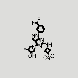 CS(=O)(=O)[C@H]1C[C@H](Nc2nc(N3C[C@H](O)[C@@H](F)C3)c3cnn(-c4cccc(C(F)F)c4)c3n2)C1